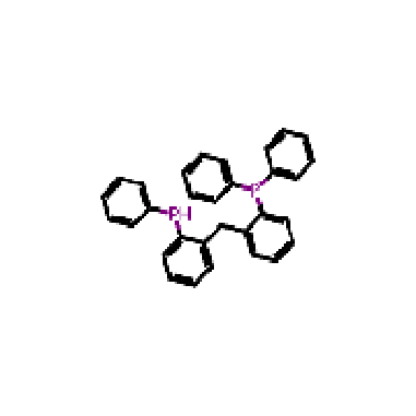 c1ccc(Pc2ccccc2Cc2ccccc2P(c2ccccc2)c2ccccc2)cc1